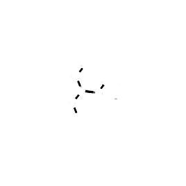 COP(OC)OC.[Fe]